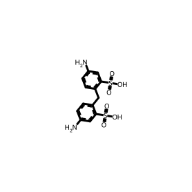 Nc1ccc(Cc2ccc(N)cc2S(=O)(=O)O)c(S(=O)(=O)O)c1